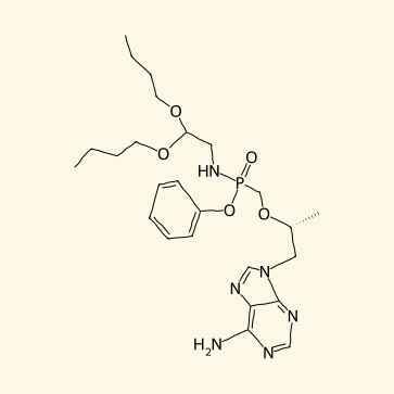 CCCCOC(CNP(=O)(CO[C@H](C)Cn1cnc2c(N)ncnc21)Oc1ccccc1)OCCCC